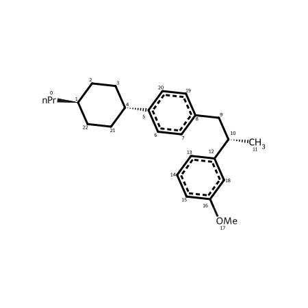 CCC[C@H]1CC[C@H](c2ccc(C[C@H](C)c3cccc(OC)c3)cc2)CC1